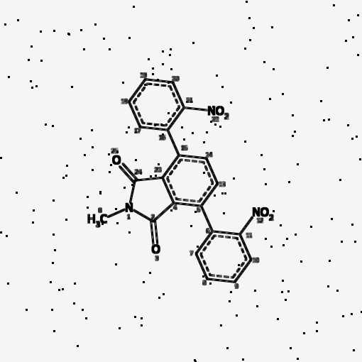 CN1C(=O)c2c(-c3ccccc3[N+](=O)[O-])ccc(-c3ccccc3[N+](=O)[O-])c2C1=O